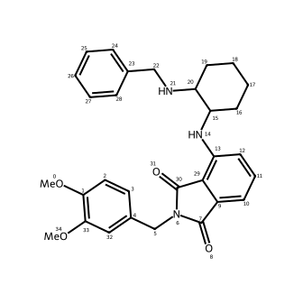 COc1ccc(CN2C(=O)c3cccc(NC4CCCCC4NCc4ccccc4)c3C2=O)cc1OC